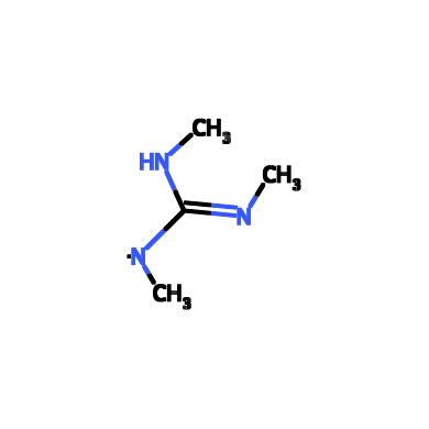 C[N]C(=NC)NC